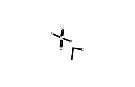 CCCl.O=S(=O)(F)F